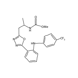 COC(=O)NC(C)Cc1nnc(-c2ccccc2Nc2ccc(C(F)(F)F)cc2)o1